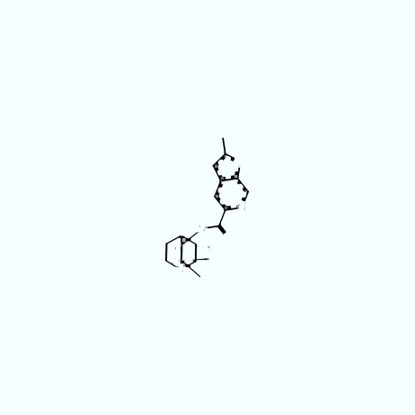 Cc1cc2cc(C(=O)N[C@@H]3C4CCN(CC4)[C@H]3C)ncc2o1